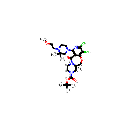 COCCN1CCN(c2nc(Cl)c(Cl)c3c2C(=O)N2CCN(C(=O)OC(C)(C)C)C[C@@H]2CO3)CC1(C)C